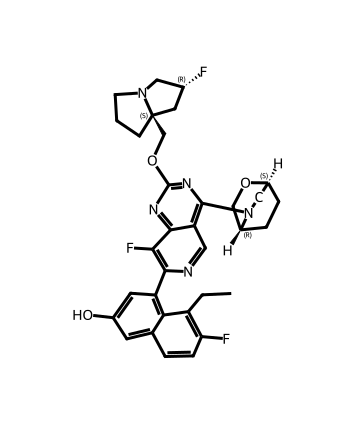 CCc1c(F)ccc2cc(O)cc(-c3ncc4c(N5C[C@@H]6CC[C@@H]5CO6)nc(OC[C@@]56CCCN5C[C@H](F)C6)nc4c3F)c12